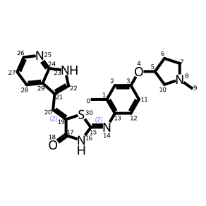 Cc1cc(OC2CCN(C)C2)ccc1/N=C1/NC(=O)/C(=C/c2c[nH]c3ncccc23)S1